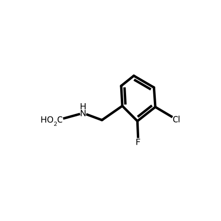 O=C(O)NCc1cccc(Cl)c1F